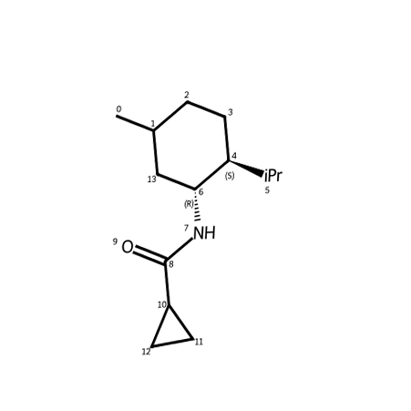 CC1CC[C@@H](C(C)C)[C@H](NC(=O)C2CC2)C1